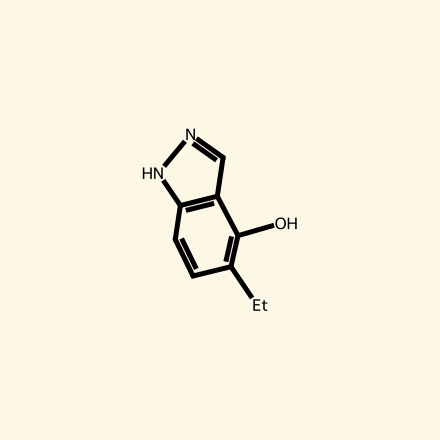 CCc1ccc2[nH]ncc2c1O